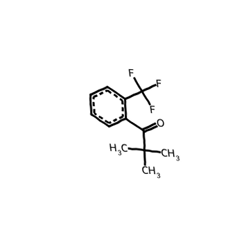 CC(C)(C)C(=O)c1ccccc1C(F)(F)F